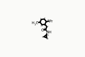 CC1CCC(C(C)C)C(CC(=O)NC2CC2)C1